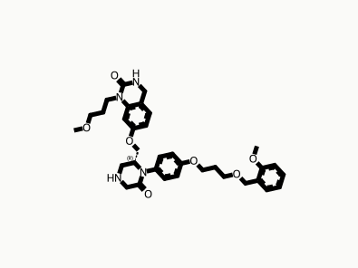 COCCCN1C(=O)NCc2ccc(OC[C@H]3CNCC(=O)N3c3ccc(OCCCOCc4ccccc4OC)cc3)cc21